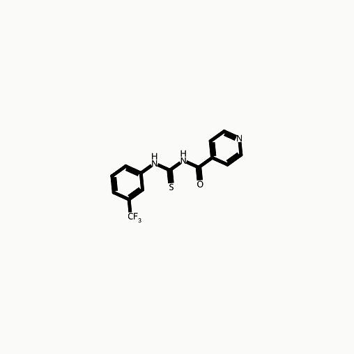 O=C(NC(=S)Nc1cccc(C(F)(F)F)c1)c1ccncc1